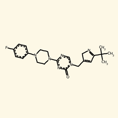 CC(C)(C)C1=NCC(Cn2cnc(N3CCN(c4ccc(F)cc4)CC3)nc2=O)=C1